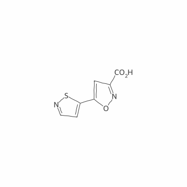 O=C(O)c1cc(-c2ccns2)on1